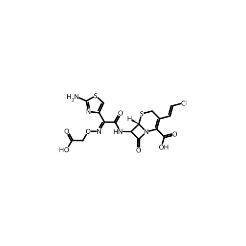 Nc1nc(C(=NOCC(=O)O)C(=O)NC2C(=O)N3C(C(=O)O)=C(/C=C/Cl)CS[C@@H]23)cs1